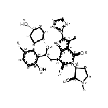 Cc1c(-n2nccn2)sc2c1c(=O)n([C@@H]1CCN(C)C1=O)c(=O)n2C[C@H](O[C@H]1CC[C@@H](O)CC1)c1cc(F)ccc1O